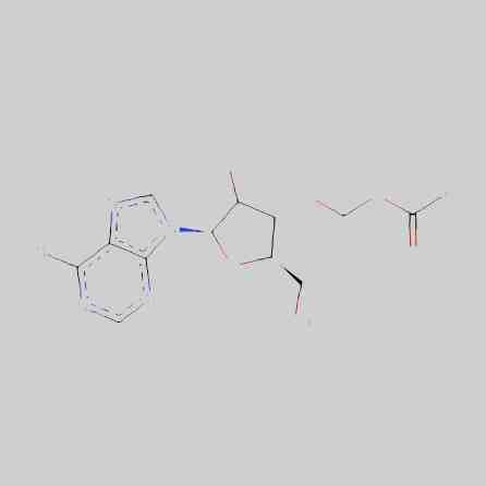 CC(C)(C)C(=O)OCO[C@H]1[C](O)[C@H](n2cnc3c(N)ncnc32)O[C@@H]1CO